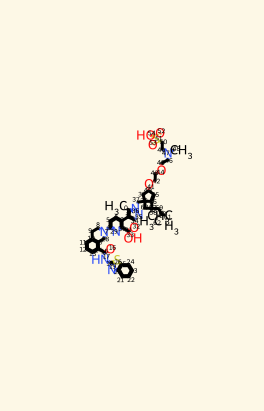 Cc1c(-c2ccc(N3CCc4cccc(C(=O)Nc5nc6ccccc6s5)c4C3)nc2C(=O)O)cnn1CC12CC(OCCOCCN(C)CCS(=O)(=O)O)C=C1C(C)(CC(C)C)C2